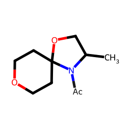 CC(=O)N1C(C)COC12CCOCC2